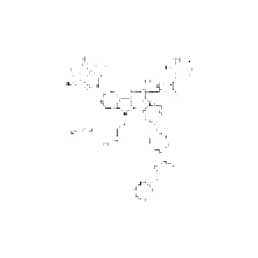 CO[C@@H](C)c1ncc(N2CCN(C(=O)OCc3ccccc3)CC2)cc1-c1c(CC(C)(C)COC(=O)[C@@H]2CCCNN2)c2cc(B3OC(C)(C)C(C)(C)O3)ccc2n1CCOC(C)C.Cl.Cl